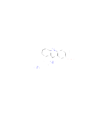 CCc1cc2nc3ccccc3c(NC3CCNCC3)c2cc1O